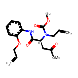 C=CCOc1ccccc1NC(=O)[C@H](CC(=O)OC)N(CC=C)C(=O)OC(C)(C)C